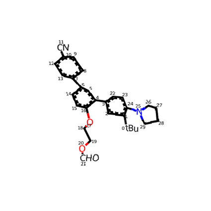 CC(C)(C)c1cc(-c2cc(-c3ccc(C#N)cc3)ccc2OCCOC=O)ccc1N1CCCC1